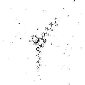 CCCCCCOC(=O)C1C2CCC(O2)C1C(=O)OCCCCCC